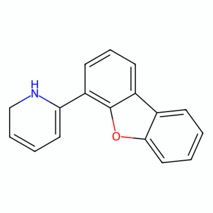 C1=CCNC(c2cccc3c2oc2ccccc23)=C1